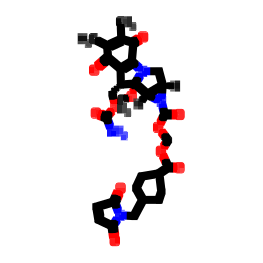 CO[C@@]12[C@H](COC(N)=O)C3=C(C(=O)C(C)=C(C)C3=O)N1C[C@H]1[C@@H]2N1C(=O)OCOC(=O)C1CCC(CN2C(=O)C=CC2=O)CC1